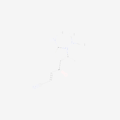 CNC1SC(C(=O)C=CC#N)=C(C)N1N(C)C